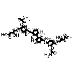 Cc1c(COc2nc(OCC(N)=O)c(CNCC(O)CC(=O)O)cc2Br)cccc1-c1cccc(COc2nc(OCC(N)=O)c(CNCC(O)CC(=O)O)cc2Br)c1C